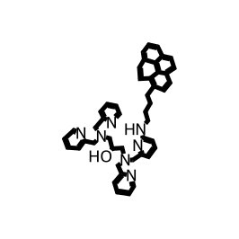 OC(CN(Cc1ccccn1)Cc1ccccn1)CN(Cc1ccccn1)Cc1cccc(NCCCCc2ccc3ccc4cccc5ccc2c3c45)n1